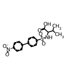 CC(C)C(NS(=O)(=O)c1ccc(-c2ccc([N+](=O)[O-])cc2)cc1)C(=O)O